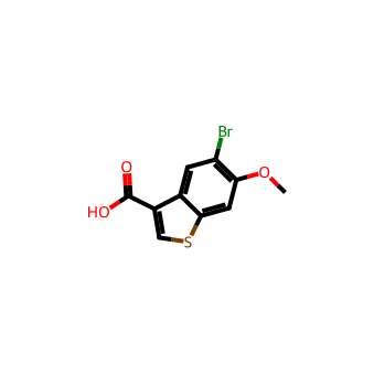 COc1cc2scc(C(=O)O)c2cc1Br